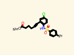 COC(=O)CCCC#Cc1cc(Cl)ccc1NS(=O)(=O)c1ccc(C(C)C)cc1